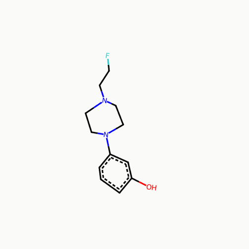 Oc1cccc(N2CCN(CCF)CC2)c1